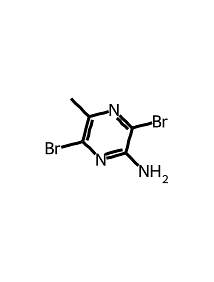 Cc1nc(Br)c(N)nc1Br